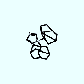 C1=C[N+](C23CC4CC(CC(C4)C2)C3)(C23CC4CC(CC(C4)C2)C3)C=N1